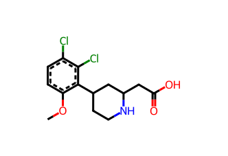 COc1ccc(Cl)c(Cl)c1C1CCNC(CC(=O)O)C1